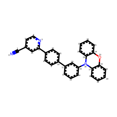 N#Cc1ccnc(-c2ccc(-c3cccc(N4c5ccccc5Oc5ccccc54)c3)cc2)c1